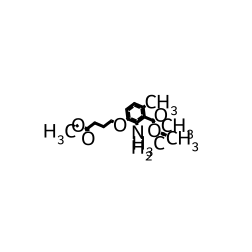 COC(=O)CCCOc1ccc(C)c(C(=O)OC(C)(C)C)c1N